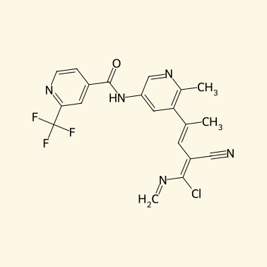 C=N/C(Cl)=C(C#N)\C=C(/C)c1cc(NC(=O)c2ccnc(C(F)(F)F)c2)cnc1C